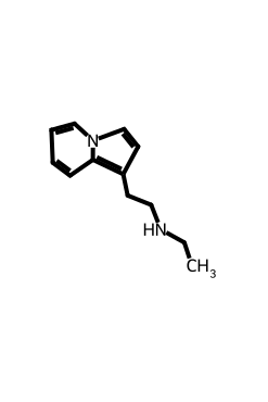 CCNCCc1ccn2ccccc12